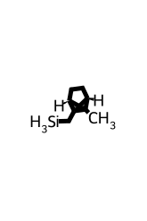 CC1=C(C[SiH3])[C@H]2CC[C@H]1C2